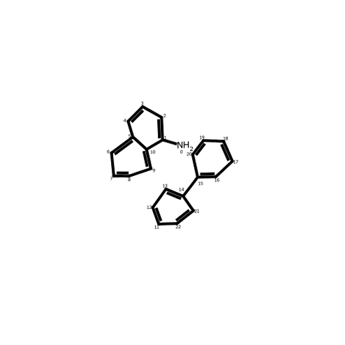 Nc1cccc2ccccc12.c1ccc(-c2ccccc2)cc1